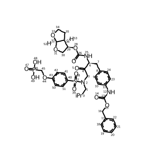 CC(C)CN(CC(=O)[C@H](Cc1ccc(NC(=O)OCc2ccccc2)cc1)NC(=O)O[C@H]1CO[C@H]2OCC[C@H]21)S(=O)(=O)c1ccc(OCP(=O)(O)O)cc1